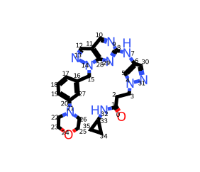 O=C(CCn1cc(Nc2ncc3cnn(Cc4cccc(N5CCOCC5)c4)c3n2)cn1)NC1CC1